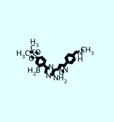 Bc1cc(S(=O)(=O)C(C)C)ccc1-c1cnc(N)c(-c2cc(-c3ccc(CNC)cc3)no2)n1